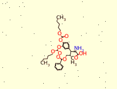 CCCCCOC(=O)Oc1ccc(C(C(C)COC(=O)c2ccccc2)[C@H](N)C(=O)O)cc1OC(=O)OCCCCC